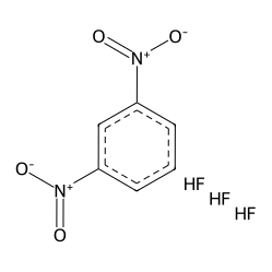 F.F.F.O=[N+]([O-])c1cccc([N+](=O)[O-])c1